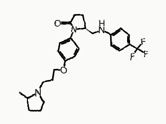 CC1CCCN1CCCOc1ccc(N2C(=O)CC[C@H]2CNc2ccc(C(F)(F)F)cc2)cc1